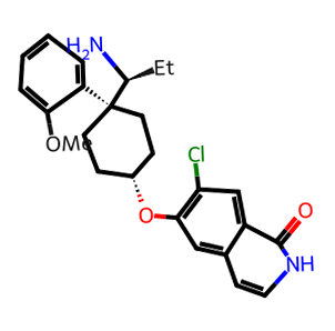 CC[C@H](N)[C@]1(c2ccccc2OC)CC[C@@H](Oc2cc3cc[nH]c(=O)c3cc2Cl)CC1